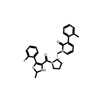 Cc1ccccc1-c1cccn(C[C@@H]2CCCN2C(=O)C2=C(c3ccccc3F)SC(C)N2)c1=O